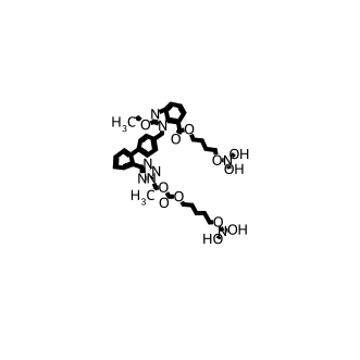 CCOc1nc2cccc(C(=O)OCCCCON(O)O)c2n1Cc1ccc(-c2ccccc2-c2nnn(C(C)OC(=O)OCCCCCON(O)O)n2)cc1